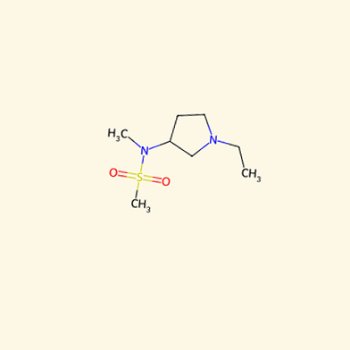 CCN1CCC(N(C)S(C)(=O)=O)C1